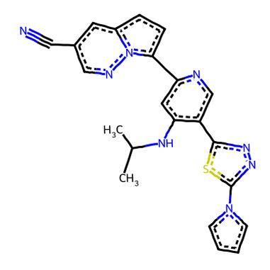 CC(C)Nc1cc(-c2ccc3cc(C#N)cnn23)ncc1-c1nnc(-n2cccc2)s1